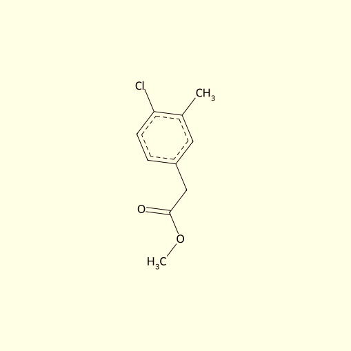 COC(=O)Cc1ccc(Cl)c(C)c1